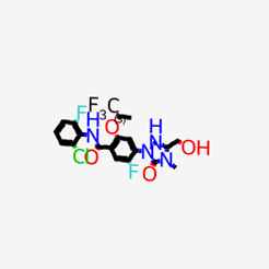 C[C@H](Oc1cc(N2NC(CO)N(C)C2=O)c(F)cc1C(=O)Nc1c(F)cccc1Cl)C(F)(F)F